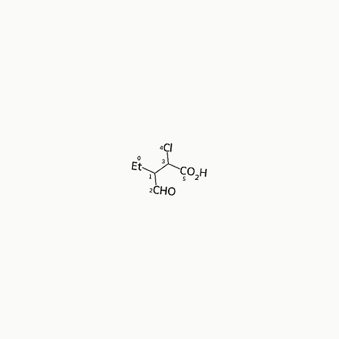 CCC(C=O)C(Cl)C(=O)O